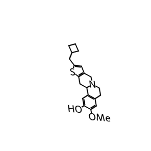 COc1cc2c(cc1O)C1Cc3sc(CC4CCC4)cc3CN1CC2